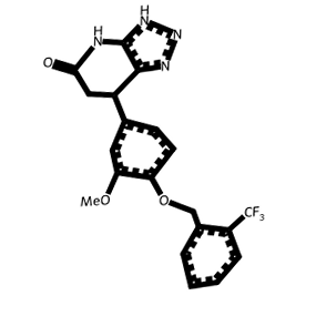 COc1cc(C2CC(=O)Nc3[nH]nnc32)ccc1OCc1ccccc1C(F)(F)F